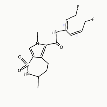 CC1CCc2c(cn(C)c2C(=O)NC(/C=C\CF)=C/CF)S(=O)(=O)N1